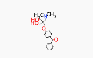 CN(C)CC(CO)(CO)COc1ccc(C(=O)c2ccccc2)cc1